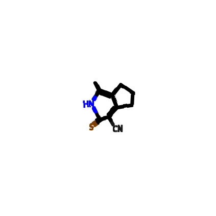 Cc1[nH]c(=S)c(C#N)c2c1CCC2